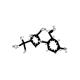 Cc1nc(C(C)(F)F)cn1-c1ccc(Br)cc1C=O